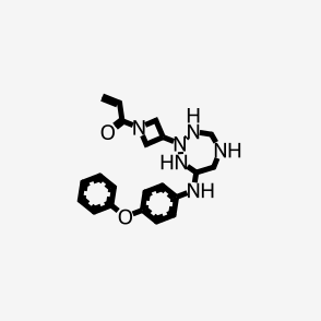 C=CC(=O)N1CC(N2NCNCC(Nc3ccc(Oc4ccccc4)cc3)N2)C1